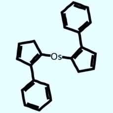 C1=CC(c2ccccc2)=[C]([Os][C]2=C(c3ccccc3)C=CC2)C1